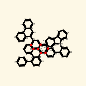 c1ccc(-c2ccccc2-c2c(-c3ccccc3)cccc2N(c2ccc(-c3ccccc3-n3c4ccccc4c4ccccc43)cc2)c2ccc(-c3cc4ccccc4c4ccccc34)cc2)cc1